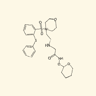 O=C(CNCC[N+]1(S(=O)(=O)c2ccccc2Sc2ccccc2)CCOCC1)NOC1CCCCO1